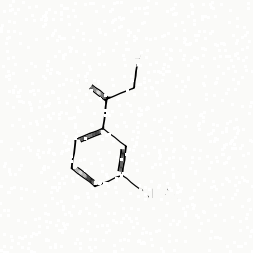 CC(=O)Nc1cccc(C(=O)CBr)c1